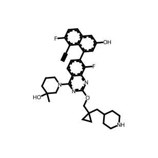 C#Cc1c(F)ccc2cc(O)cc(-c3ccc4c(N5CCCC(C)(O)C5)nc(OCC5(CC6CCNCC6)CC5)nc4c3F)c12